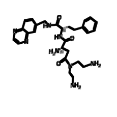 NCCN(CCN)C(=O)C[C@H](N)C(=O)N[C@@H](CCc1ccccc1)C(=O)NCc1ccc2nccnc2c1